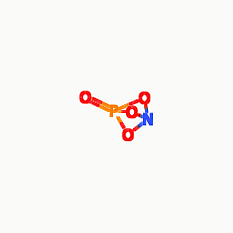 O=P12ON(O1)O2